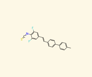 Cc1ccc(-c2ccc(/C=C/c3cc(F)c(N=C=S)c(F)c3)cc2)cc1